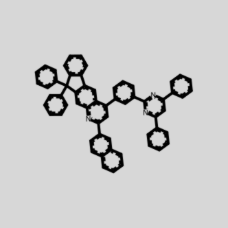 c1ccc(-c2cc(-c3ccccc3)nc(-c3cccc(-c4cc(-c5ccc6ccccc6c5)nc5cc6c(cc45)-c4ccccc4C6(c4ccccc4)c4ccccc4)c3)n2)cc1